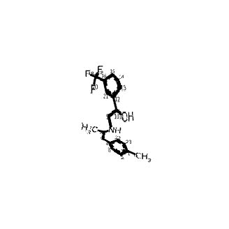 Cc1ccc(CC(C)NCC(O)c2cccc(C(F)(F)F)c2)cc1